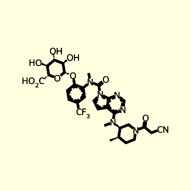 C[C@@H]1CCN(C(=O)CC#N)C[C@@H]1N(C)c1ncnc2c1ccn2C(=O)N(C)c1cc(C(F)(F)F)ccc1O[C@@H]1O[C@H](C(=O)O)[C@@H](O)[C@H](O)[C@H]1O